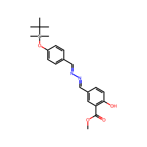 COC(=O)c1cc(/C=N/N=C/c2ccc(O[Si](C)(C)C(C)(C)C)cc2)ccc1O